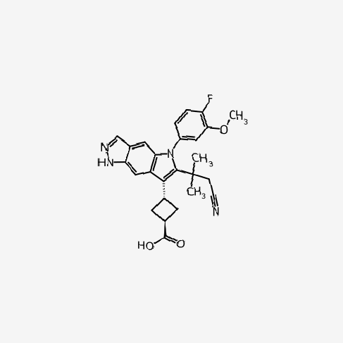 COc1cc(-n2c(C(C)(C)CC#N)c([C@H]3C[C@H](C(=O)O)C3)c3cc4[nH]ncc4cc32)ccc1F